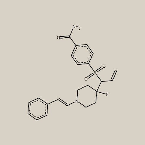 C=CC(C1(F)CCN(C=Cc2ccccc2)CC1)S(=O)(=O)c1ccc(C(N)=O)cc1